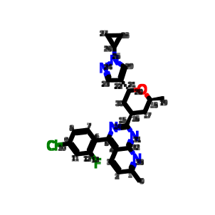 Cc1ccc2c(-c3ccc(Cl)cc3F)nc([C@@H]3C[C@H](C)O[C@@H](c4cnn(C5CC5)c4)C3)nc2n1